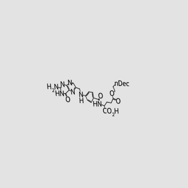 CCCCCCCCCCCCOC(=O)CCC(NC(=O)c1ccc(NCc2cnc3nc(N)[nH]c(=O)c3n2)cc1)C(=O)O